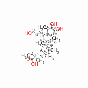 CC[C@@](C)(CC[C@]1(C)CC[C@]2(C)C3=CC(SCCO)c4c(cc(O)c(O)c4C)[C@]3(C)CC[C@@]2(C)C1)C(=O)O